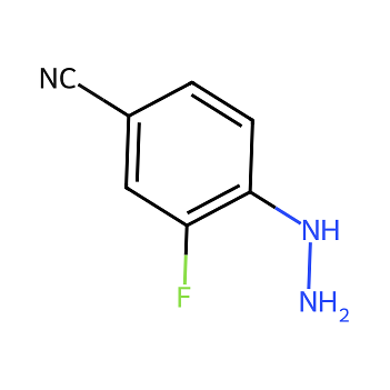 N#Cc1ccc(NN)c(F)c1